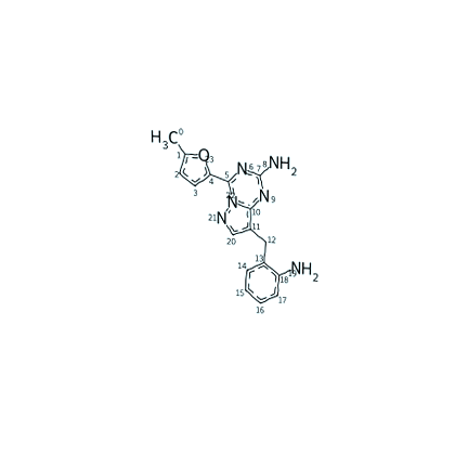 Cc1ccc(-c2nc(N)nc3c(Cc4ccccc4N)cnn23)o1